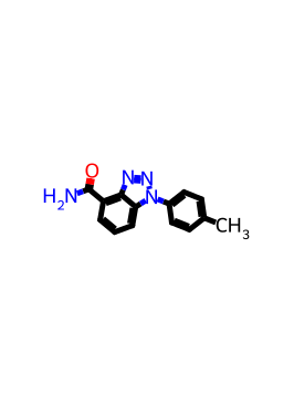 Cc1ccc(-n2nnc3c(C(N)=O)cccc32)cc1